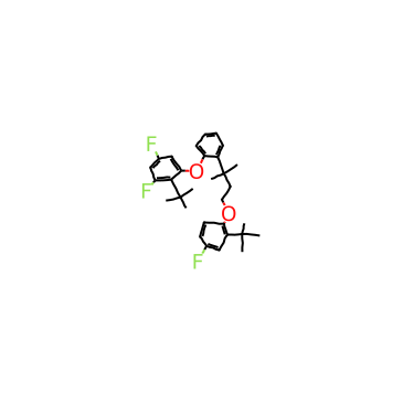 CC(C)(C)c1cc(F)ccc1OCCC(C)(C)c1ccccc1Oc1cc(F)cc(F)c1C(C)(C)C